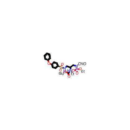 CCOP(=O)(OCC)N(C=O)CC(CNS(=O)(=O)c1ccc(Oc2ccccc2)cc1)NC(=O)OC(C)(C)C